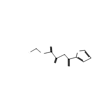 NCOC(=O)C(=O)CC(=O)c1ccco1